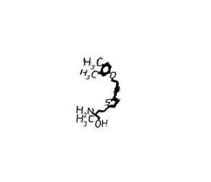 Cc1ccc(OCCC#Cc2ccc(CCC(C)(N)CO)s2)cc1C